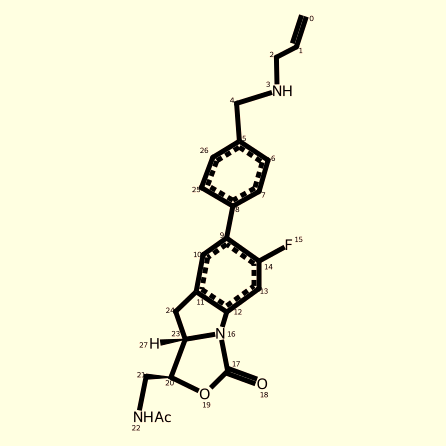 C=CCNCc1ccc(-c2cc3c(cc2F)N2C(=O)O[C@@H](CNC(C)=O)[C@@H]2C3)cc1